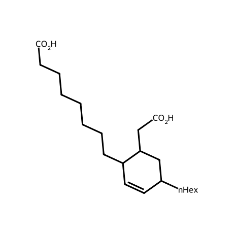 CCCCCCC1C=CC(CCCCCCCC(=O)O)C(CC(=O)O)C1